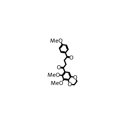 COc1ccc(C(=O)CCC(=O)c2cc3c(c(OC)c2OC)OCCO3)cc1